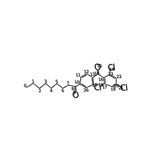 CCCCCCCCC(=O)c1ccc(C(=O)c2c(Cl)cc(Cl)cc2Cl)cc1